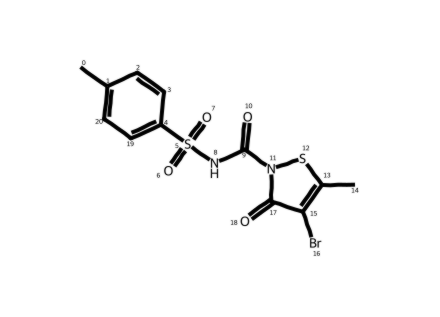 Cc1ccc(S(=O)(=O)NC(=O)n2sc(C)c(Br)c2=O)cc1